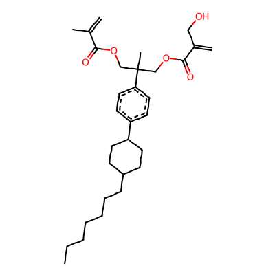 C=C(C)C(=O)OCC(C)(COC(=O)C(=C)CO)c1ccc(C2CCC(CCCCCCC)CC2)cc1